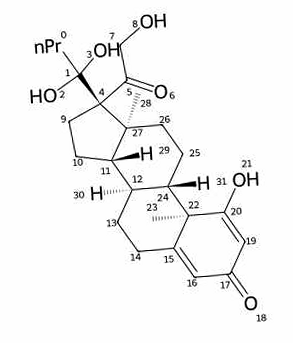 CCCC(O)(O)[C@]1(C(=O)CO)CC[C@H]2[C@@H]3CCC4=CC(=O)C=C(O)[C@]4(C)[C@H]3CC[C@@]21C